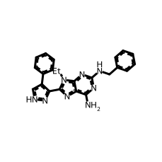 CCn1c(-c2n[nH]cc2-c2ccccc2)nc2c(N)nc(NCc3ccccc3)nc21